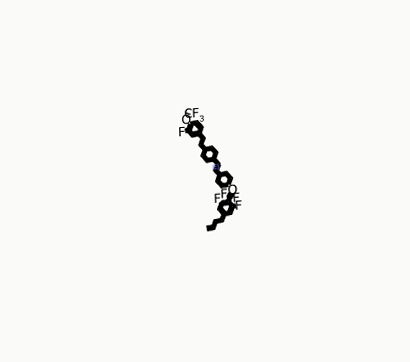 C=CCCc1cc(F)c(C(F)(F)OC2CCC(/C=C/C3CCC(CCc4ccc(OC(F)(F)F)c(F)c4)CC3)CC2)c(F)c1